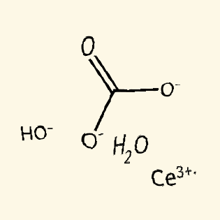 O.O=C([O-])[O-].[Ce+3].[OH-]